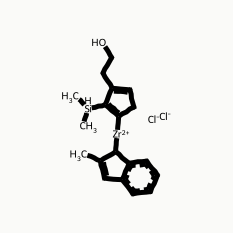 CC1=Cc2ccccc2[CH]1[Zr+2][C]1=C([SiH](C)C)C(CCO)=CC1.[Cl-].[Cl-]